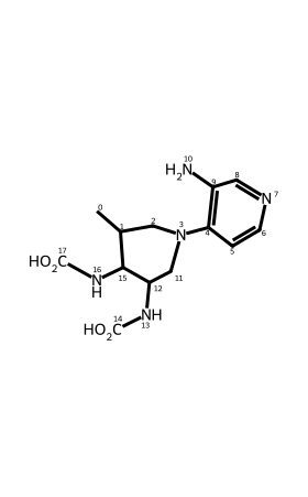 CC1CN(c2ccncc2N)CC(NC(=O)O)C1NC(=O)O